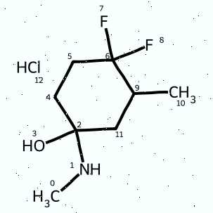 CNC1(O)CCC(F)(F)C(C)C1.Cl